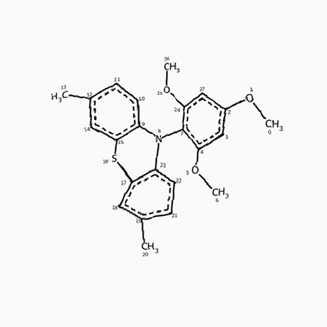 COc1cc(OC)c(N2c3ccc(C)cc3Sc3cc(C)ccc32)c(OC)c1